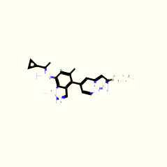 CNc1cc2cc(-c3c(C)c(F)c(NC(C)C4CC4)c4[nH]ncc34)ccn2n1